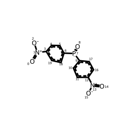 O=[N+]([O-])c1ccc([P](=O)c2ccc([N+](=O)[O-])cc2)cc1